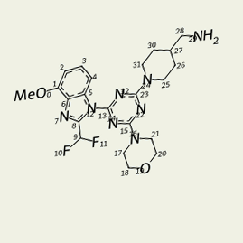 COc1cccc2c1nc(C(F)F)n2-c1nc(N2CCOCC2)nc(N2CCC(CN)CC2)n1